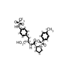 Cc1ccc(S(=O)(=O)N2CCC[C@H]2C(=O)N[C@@H](Cc2ccc(NS(=O)(=O)C(F)(F)F)cc2)C(=O)O)cc1